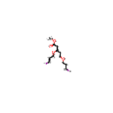 CC(C)(C)OC(=O)CC(CCOCCCI)OCCCI